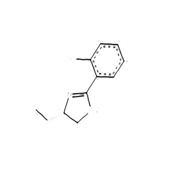 CC[C@H]1COC(c2ccccc2O)=N1